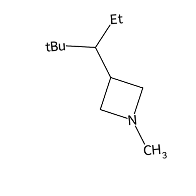 CCC(C1CN(C)C1)C(C)(C)C